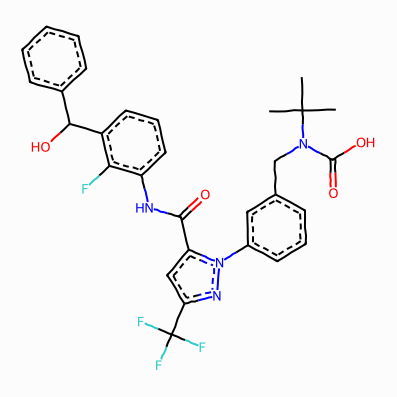 CC(C)(C)N(Cc1cccc(-n2nc(C(F)(F)F)cc2C(=O)Nc2cccc(C(O)c3ccccc3)c2F)c1)C(=O)O